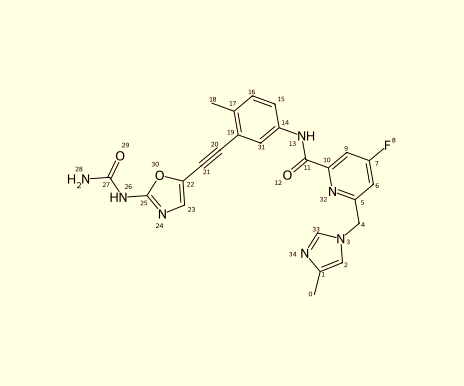 Cc1cn(Cc2cc(F)cc(C(=O)Nc3ccc(C)c(C#Cc4cnc(NC(N)=O)o4)c3)n2)cn1